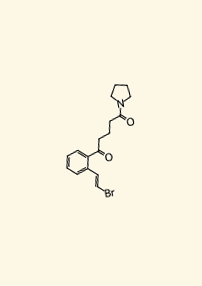 O=C(CCCC(=O)N1CCCC1)c1ccccc1C=CBr